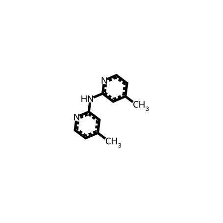 Cc1ccnc(Nc2cc(C)ccn2)c1